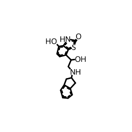 O=c1[nH]c2c(O)ccc(C(O)CNC3Cc4ccccc4C3)c2s1